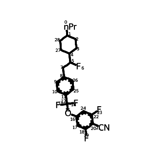 CCCC1CCC(C(F)Cc2ccc(C(F)(F)Oc3cc(F)c(C#N)c(F)c3)cc2)CC1